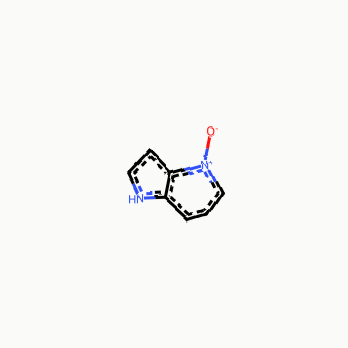 [O-][n+]1cc[c]c2[nH]ccc21